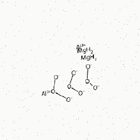 [Al+3].[Al+3].[MgH2].[MgH2].[O-]O[O-].[O-]O[O-].[O-]O[O-]